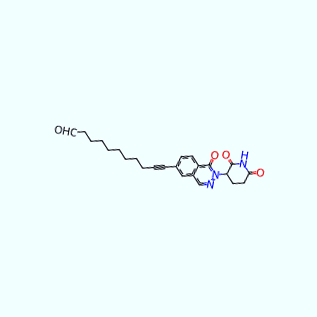 O=CCCCCCCCCC#Cc1ccc2c(=O)n(C3CCC(=O)NC3=O)ncc2c1